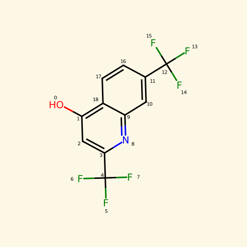 Oc1cc(C(F)(F)F)nc2cc(C(F)(F)F)ccc12